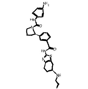 CCCN[C@H]1CCc2nc(NC(=O)c3cccc([C@H]4CCCN4C(=O)Nc4ccc(N)cc4)c3)sc2C1